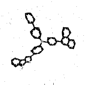 c1ccc(-c2ccc(N(c3ccc(-c4cnc5sc6ccccc6c5c4)cc3)c3ccc(-c4cc5ccccc5c5ccccc45)cc3)cc2)cc1